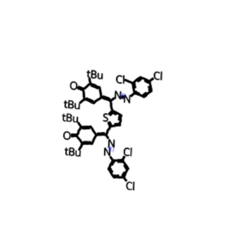 CC(C)(C)C1=CC(=C(/N=N/c2ccc(Cl)cc2Cl)c2ccc(C(/N=N/c3ccc(Cl)cc3Cl)=C3C=C(C(C)(C)C)C(=O)C(C(C)(C)C)=C3)s2)C=C(C(C)(C)C)C1=O